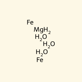 O.O.O.[Fe].[Fe].[MgH2]